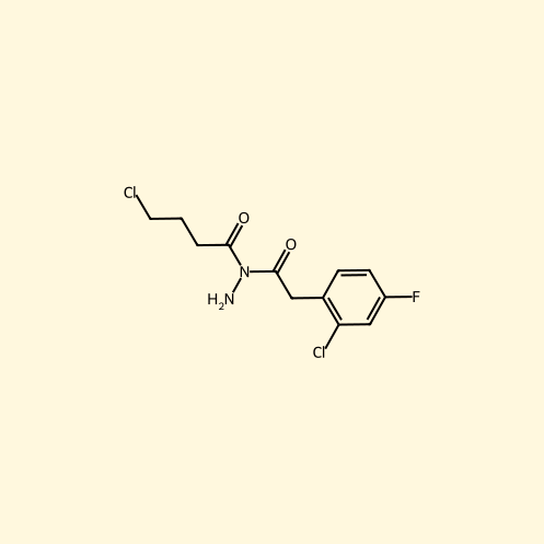 NN(C(=O)CCCCl)C(=O)Cc1ccc(F)cc1Cl